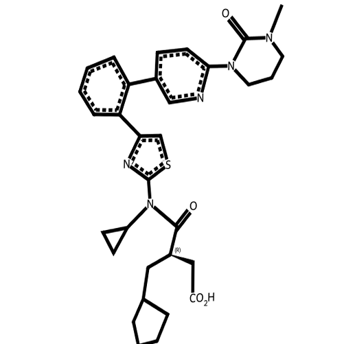 CN1CCCN(c2ccc(-c3ccccc3-c3csc(N(C(=O)[C@@H](CC(=O)O)CC4CCCC4)C4CC4)n3)cn2)C1=O